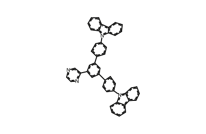 c1ccc2c(c1)c1ccccc1n2-c1ccc(-c2cc(-c3ccc(-n4c5ccccc5c5ccccc54)cc3)cc(-c3cnccn3)c2)cc1